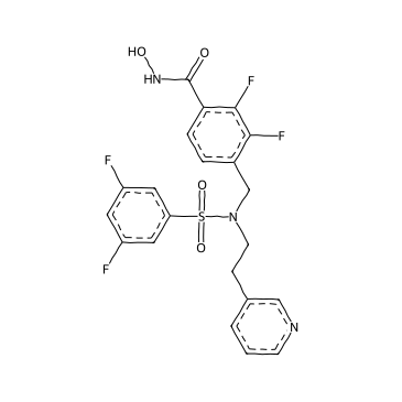 O=C(NO)c1ccc(CN(CCc2cccnc2)S(=O)(=O)c2cc(F)cc(F)c2)c(F)c1F